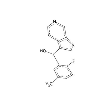 OC(c1cc(C(F)(F)F)ccc1F)c1cnc2cnccn12